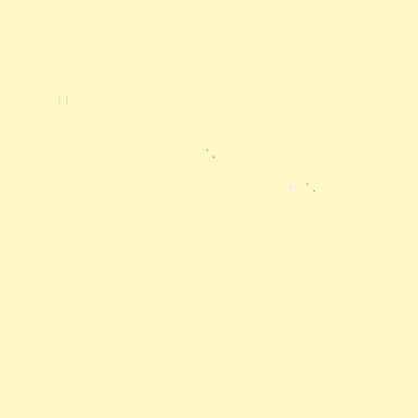 Cc1ccc(OCc2ccccc2/C(C#N)=N\O)c(Cl)c1